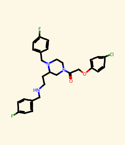 O=C(COc1ccc(Cl)cc1)N1CCN(Cc2ccc(F)cc2)C(CCNCc2ccc(F)cc2)C1